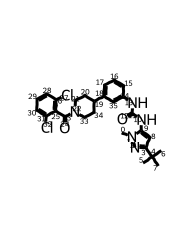 Cn1nc(C(C)(C)C)cc1NC(=O)Nc1cccc(C2CCN(C(=O)c3c(Cl)cccc3Cl)CC2)c1